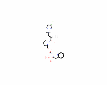 CC(C)(C=C(C#N)C(=O)N1CCC[C@]1(C)COC(=O)NC(Cc1ccccc1)B(O)O)N1CC[C@@H](F)C1